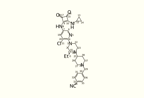 CC[C@H]1CN(c2ncc(Nc3c(NC4CC4)c(=O)c3=O)cc2Cl)CCN1C1CCN(Cc2ccc(C#N)cc2)CC1